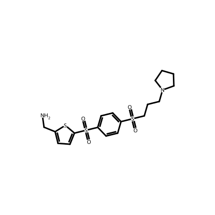 NCc1ccc(S(=O)(=O)c2ccc(S(=O)(=O)CCCN3CCCC3)cc2)s1